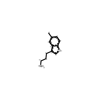 Cc1ccc2occ(CCCN)c2c1